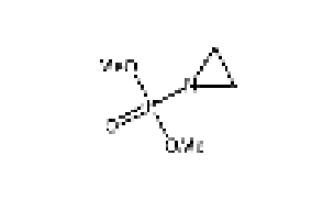 COP(=O)(OC)N1CC1